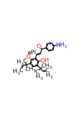 C=CC(C)(C)c1cc(C(C)(C)C=C)c(OCCC)c(C=CC(=O)c2ccc(N)cc2)c1O